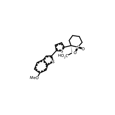 COc1ccc2cc(-c3ccc([C@@]4(CC(=O)O)CCCCS4(=O)=O)s3)sc2c1